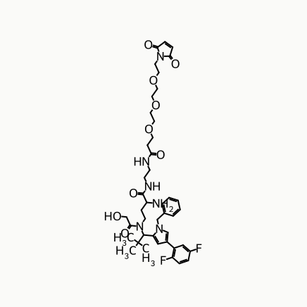 CC(C)(C)C(c1cc(-c2cc(F)ccc2F)cn1Cc1ccccc1)N(CCC(N)C(=O)NCCNC(=O)CCOCCOCCOCCN1C(=O)C=CC1=O)C(=O)CO